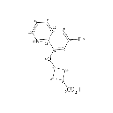 O=C(O)C1CC(Oc2cc(F)cc3cccnc23)C1